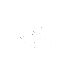 C[C@@H](COc1ccnc2c1[C@H](C)CCC2)C[C@H]1Cc2cc3c(cc2C12CCC(Nc1cccc(Cl)c1)(C(=O)O)CC2)O[C@H](COCC1CC(=O)N(C)C1)CCO3